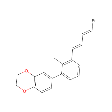 CC/C=C/C=C/c1cccc(-c2ccc3c(c2)OCCO3)c1C